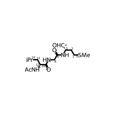 CSCC[C@@H](C=O)NC(=O)CNC(=O)[C@H](CC(C)C)NC(C)=O